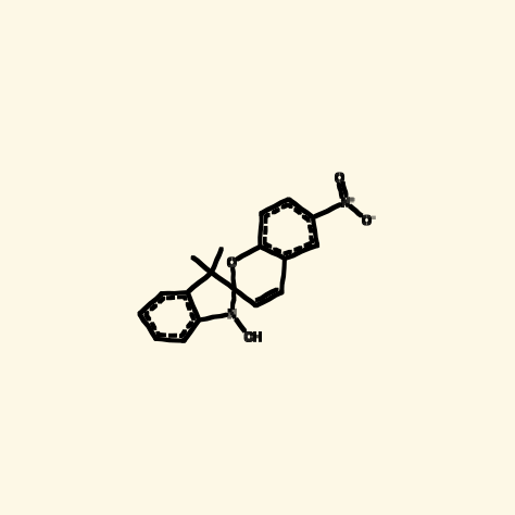 CC1(C)c2ccccc2N(O)C12C=Cc1cc([N+](=O)[O-])ccc1O2